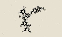 CCCN(CCC)C(=O)c1cc(C)cc(C(=O)OC(CNCCc2ccc(S(N)(=O)=O)cc2)C(N)Cc2cc(F)cc(F)c2)c1